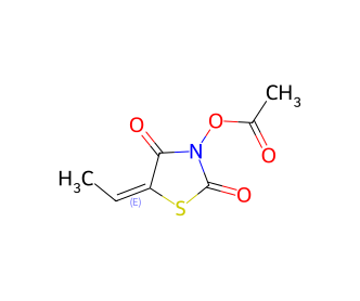 C/C=C1/SC(=O)N(OC(C)=O)C1=O